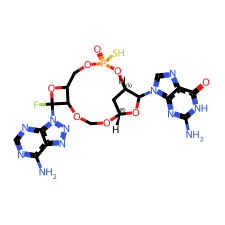 Nc1nc2c(ncn2C2O[C@H]3C[C@@H]2OP(=O)(S)OCC2OC(F)(n4nnc5c(N)ncnc54)C2OCO3)c(=O)[nH]1